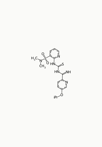 CC(C)Oc1ccc(C(=N)NC(=S)Nc2ncccc2S(=O)(=O)N(C)C)nc1